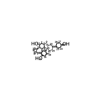 Cc1cc(O)c(C(C)C)cc1C1(c2cc(C(C)C)c(O)cc2C)CCC(c2ccc(O)cc2)CC1